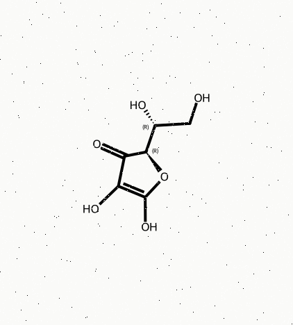 O=C1C(O)=C(O)O[C@@H]1[C@H](O)CO